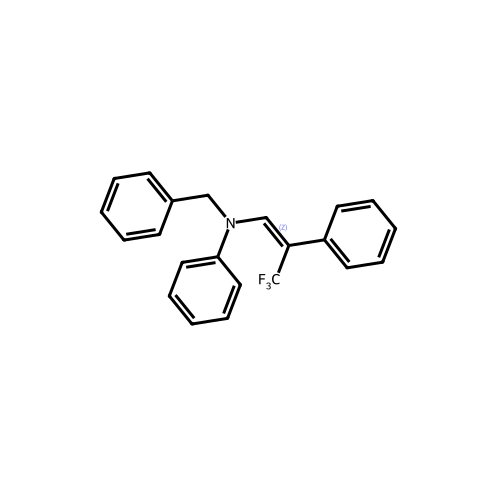 FC(F)(F)/C(=C\N(Cc1ccccc1)c1ccccc1)c1ccccc1